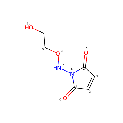 O=C1C=CC(=O)N1NOCCO